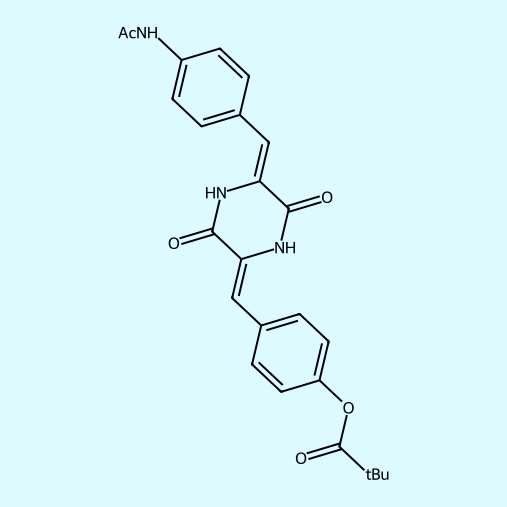 CC(=O)Nc1ccc(/C=c2\[nH]c(=O)/c(=C/c3ccc(OC(=O)C(C)(C)C)cc3)[nH]c2=O)cc1